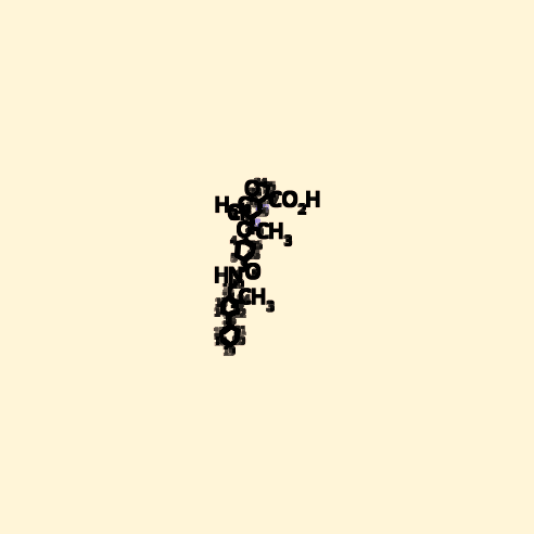 C/C(Oc1ccc(C(=O)NCCc2ccc(-c3ccccc3)cc2C)cc1)=C(Cl)\C=C1/C(C)OCCC1C(=O)O